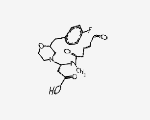 CN(C(=O)CCCC=O)[C@@H](CC(=O)O)N1CCOC(Cc2ccc(F)cc2)C1